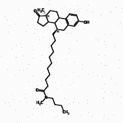 CCCCN(C)C(=O)CCCCCCCCCC[C@@H]1Cc2cc(O)ccc2C2CC[C@]3(C)C(=O)CCC3C21